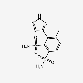 Cc1ccc(S(N)(=O)=O)c(S(N)(=O)=O)c1-c1nn[nH]n1